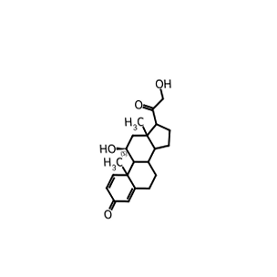 CC12C=CC(=O)C=C1CCC1C2[C@@H](O)CC2(C)C(C(=O)CO)CCC12